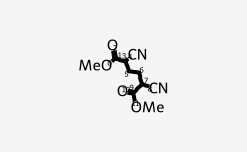 COC(=O)C(C#N)CCC(C#N)C(=O)OC